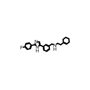 Fc1ccc(-c2ncc(-c3cccc(CNCCC4=CCCCC4)c3)[nH]2)cc1